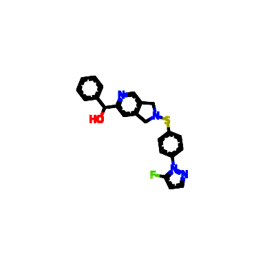 OC(c1ccccc1)c1cc2c(cn1)CN(Sc1ccc(-n3nccc3F)cc1)C2